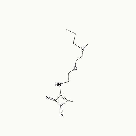 CCCN(C)CCOCCNc1c(C)c(=S)c1=S